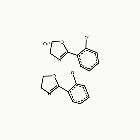 [Cu+2].[O-]c1ccccc1C1=NCCO1.[O-]c1ccccc1C1=NCCO1